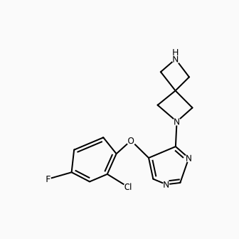 Fc1ccc(Oc2cncnc2N2CC3(CNC3)C2)c(Cl)c1